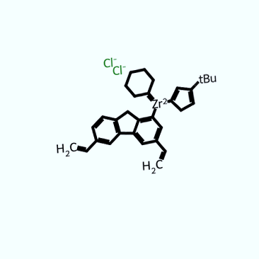 C=Cc1ccc2c(c1)-c1cc(C=C)c[c]([Zr+2]([C]3=CC(C(C)(C)C)=CC3)=[C]3CCCCC3)c1C2.[Cl-].[Cl-]